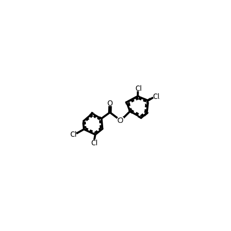 O=C(Oc1ccc(Cl)c(Cl)c1)c1ccc(Cl)c(Cl)c1